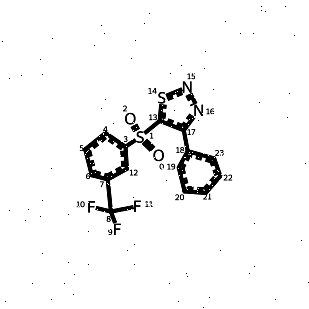 O=S(=O)(c1cccc(C(F)(F)F)c1)c1snnc1-c1ccccc1